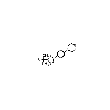 CC(C)(C)c1ncc(-c2ccc(N3CCSCC3)cc2)s1